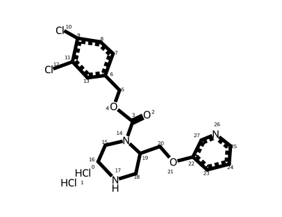 Cl.Cl.O=C(OCc1ccc(Cl)c(Cl)c1)N1CCNCC1COc1cccnc1